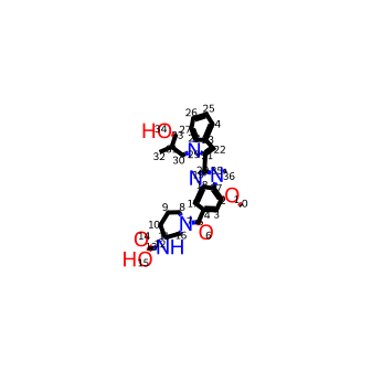 COc1cc(C(=O)N2CCCC(NC(=O)O)C2)cc2nc(-c3cc4ccccc4n3CC(C)CO)n(C)c12